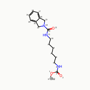 CC(C)(C)OC(=O)NCCCCCCNC(=O)N1Cc2ccccc2C1